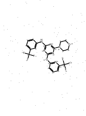 FC(F)(F)c1cccc(Nc2nc(Oc3cccc(C(F)(F)F)n3)nc(N3CCOCC3)n2)c1